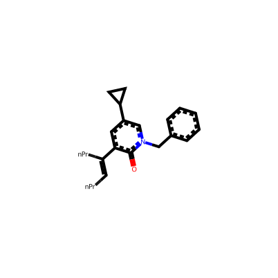 CCCC=C(CCC)c1cc(C2CC2)cn(Cc2ccccc2)c1=O